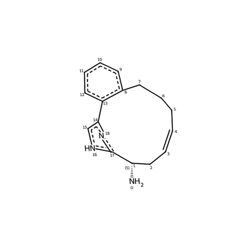 N[C@H]1CC=CCCCc2ccccc2-c2c[nH]c1n2